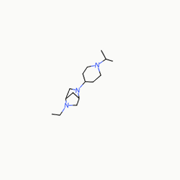 CCN1CC2CC1CN2C1CCN(C(C)C)CC1